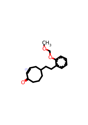 COCOc1ccccc1CCC1C/C=C\C(=O)CCC1